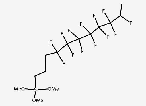 CO[Si](CCCC(F)(F)C(F)(F)C(F)(F)C(F)(F)C(F)(F)C(F)(F)C(C)F)(OC)OC